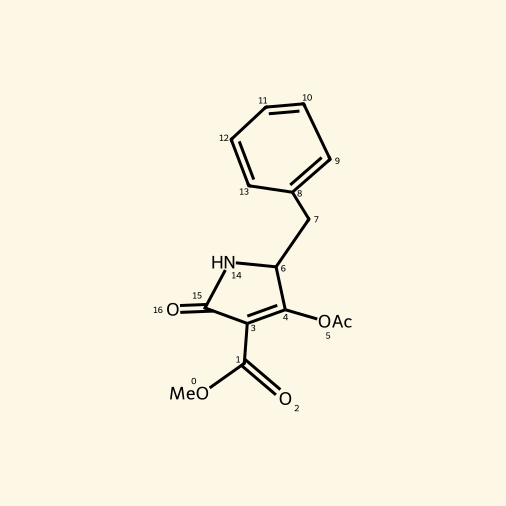 COC(=O)C1=C(OC(C)=O)C(Cc2ccccc2)NC1=O